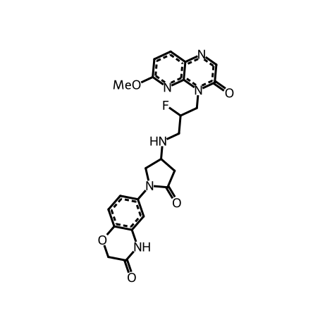 COc1ccc2ncc(=O)n(CC(F)CNC3CC(=O)N(c4ccc5c(c4)NC(=O)CO5)C3)c2n1